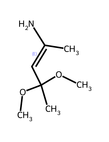 COC(C)(/C=C(\C)N)OC